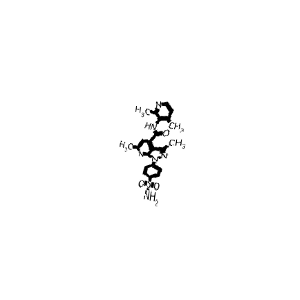 Cc1cc(C(=O)Nc2c(C)ccnc2C)c2c(C)nn(-c3ccc(S(N)(=O)=O)cc3)c2n1